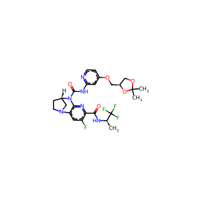 C[C@@H](NC(=O)c1nc2c(cc1F)N1CC[C@@H](C1)N2C(=O)Nc1cc(OC[C@H]2COC(C)(C)O2)ccn1)C(F)(F)F